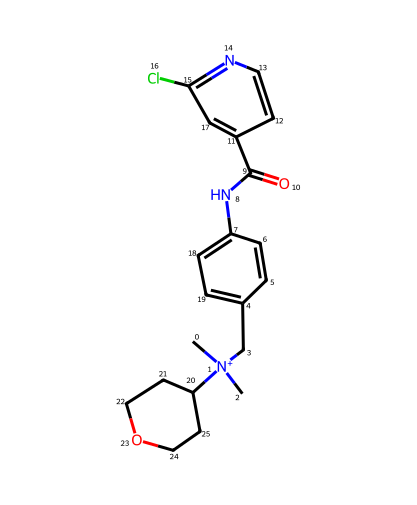 C[N+](C)(Cc1ccc(NC(=O)c2ccnc(Cl)c2)cc1)C1CCOCC1